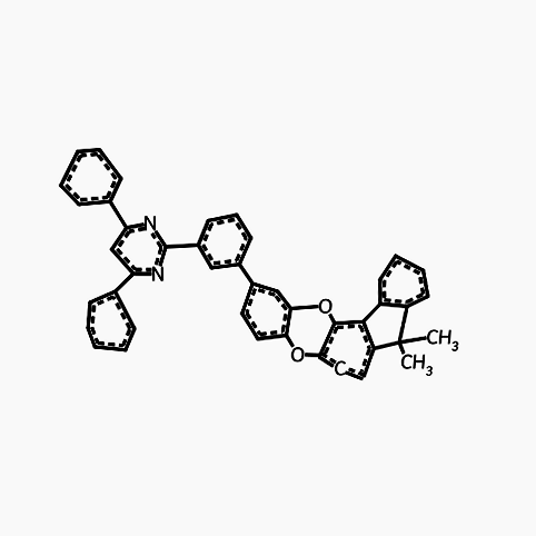 CC1(C)c2ccccc2-c2c1ccc1c2Oc2cc(-c3cccc(-c4nc(-c5ccccc5)cc(-c5ccccc5)n4)c3)ccc2O1